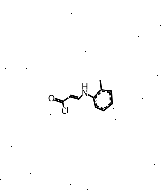 Cc1ccccc1NC=CC(=O)Cl